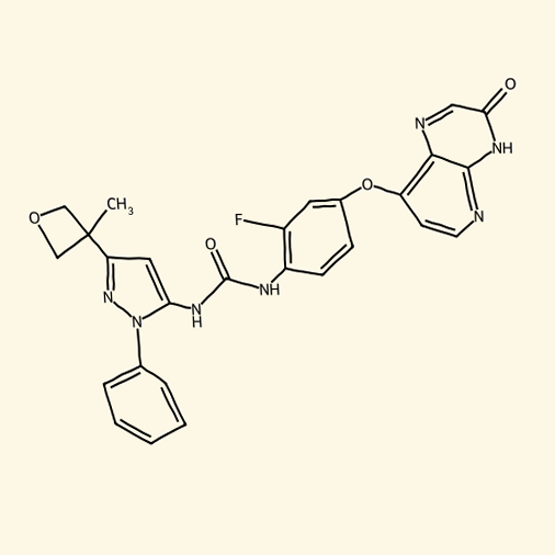 CC1(c2cc(NC(=O)Nc3ccc(Oc4ccnc5[nH]c(=O)cnc45)cc3F)n(-c3ccccc3)n2)COC1